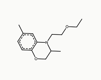 CCOCCN1c2cc(C)ccc2OCC1C